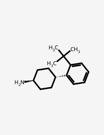 CC(C)(C)c1ccccc1[C@H]1CC[C@H](N)CC1